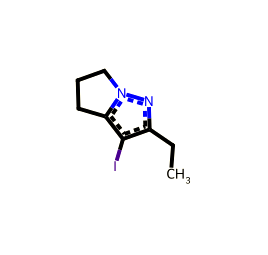 CCc1nn2c(c1I)CCC2